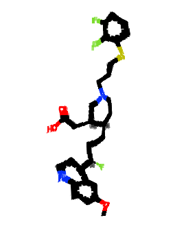 COc1ccc2nccc([C@@H](F)CC[C@@H]3CCN(CCCSc4cccc(F)c4F)C[C@@H]3CC(=O)O)c2c1